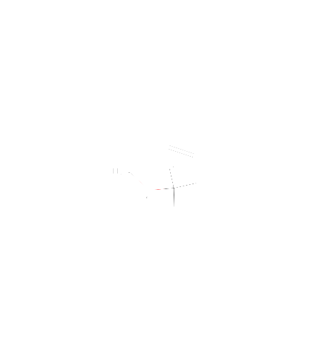 C=C.CC(C)(C)O[SiH3]